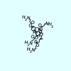 C[C@H](CCC(=O)OCCN)C1CC[C@H]2C3[C@H](OC(=O)CCN)CC4C[C@H](OC(=O)CCN)CC[C@]4(C)[C@H]3C[C@H](OC(=O)CCN)C12C